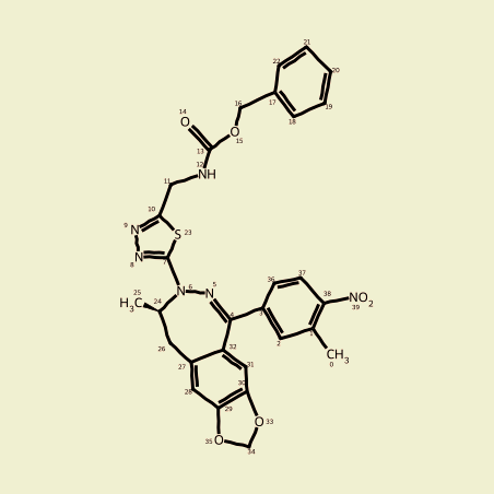 Cc1cc(C2=NN(c3nnc(CNC(=O)OCc4ccccc4)s3)[C@H](C)Cc3cc4c(cc32)OCO4)ccc1[N+](=O)[O-]